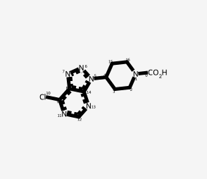 O=C(O)N1CCC(n2nnc3c(Cl)ncnc32)CC1